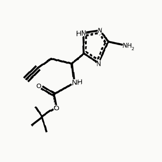 C#CCC(NC(=O)OC(C)(C)C)c1nc(N)n[nH]1